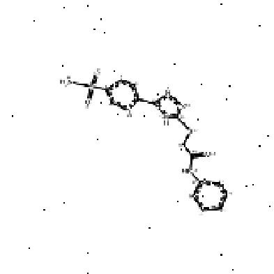 NS(=O)(=O)c1ccc(-c2nnc(SCC(=O)Nc3ccccc3)[nH]2)nc1